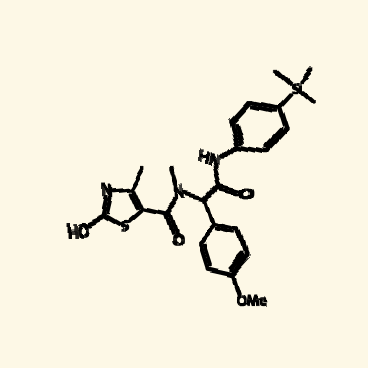 COc1ccc(C(C(=O)Nc2ccc([Si](C)(C)C)cc2)N(C)C(=O)c2sc(O)nc2C)cc1